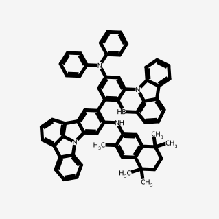 Cc1cc2c(cc1Nc1cc3c(cc1-c1cc(N(c4ccccc4)c4ccccc4)cc4c1Bc1cccc5c6ccccc6n-4c15)c1cccc4c5ccccc5n3c41)C(C)(C)CCC2(C)C